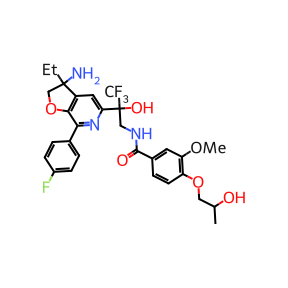 CCC1(N)COc2c1cc(C(O)(CNC(=O)c1ccc(OCC(C)O)c(OC)c1)C(F)(F)F)nc2-c1ccc(F)cc1